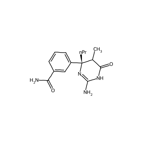 CCC[C@]1(c2cccc(C(N)=O)c2)N=C(N)NC(=O)C1C